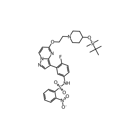 CC(C)(C)[Si](C)(C)OC1CCN(CCOc2ccn3ncc(-c4cc(NS(=O)(=O)c5ccccc5[N+](=O)[O-])ccc4F)c3n2)CC1